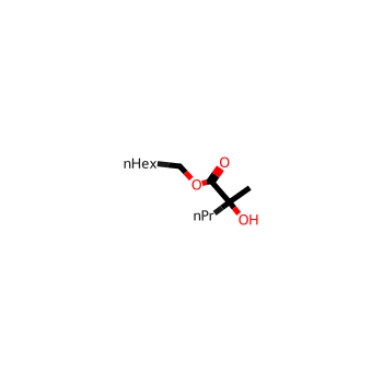 CCCCCCCOC(=O)C(C)(O)CCC